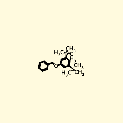 CS(C)(C)c1cc(OCc2ccccc2)cc(S(C)(C)C)c1